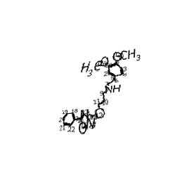 COc1ccc(CCNCCCOc2noc(-c3ccccc3)n2)cc1OC